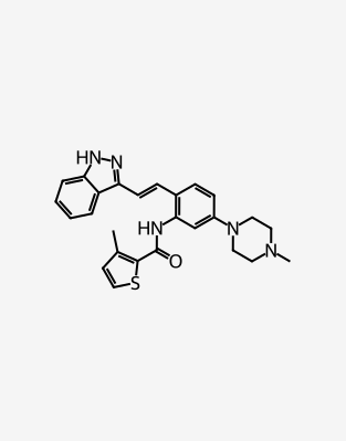 Cc1ccsc1C(=O)Nc1cc(N2CCN(C)CC2)ccc1/C=C/c1n[nH]c2ccccc12